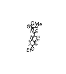 CCOc1ccc2nc(C3=N[C@@H](C(=O)OC)CS3)ccc2c1